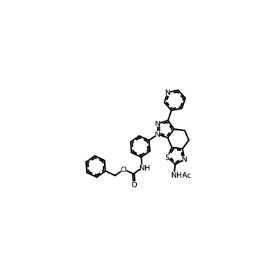 CC(=O)Nc1nc2c(s1)-c1c(c(-c3cccnc3)nn1-c1cccc(NC(=O)OCc3ccccc3)c1)CC2